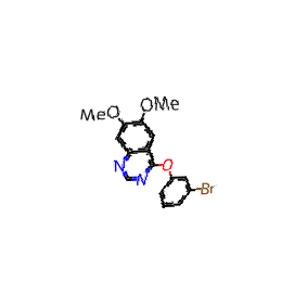 COc1cc2ncnc(Oc3cccc(Br)c3)c2cc1OC